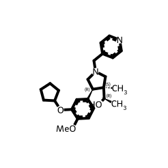 COc1ccc([C@H]2CN(Cc3ccncc3)C[C@@]2(C)[C@@H](C)O)cc1OC1CCCC1